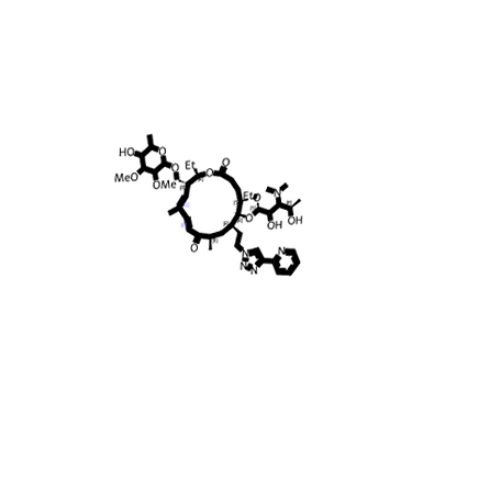 CCO[C@@H](O[C@H]1[C@@H](CCn2cc(-c3ccccn3)nn2)C[C@@H](C)C(=O)/C=C/C(C)=C/[C@H](COC2OC(C)C(O)C(OC)C2OC)[C@@H](CC)OC(=O)CC[C@@H]1C)C(O)C([C@@H](C)O)N(C)C